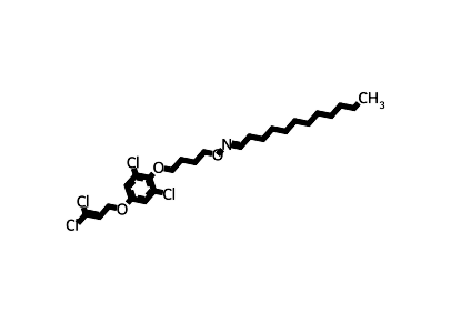 CCCCCCCCCCCC=NOCCCCOc1c(Cl)cc(OCC=C(Cl)Cl)cc1Cl